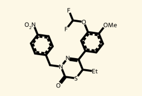 CCC1SC(=O)N(Cc2ccc([N+](=O)[O-])cc2)N=C1c1ccc(OC)c(OC(F)F)c1